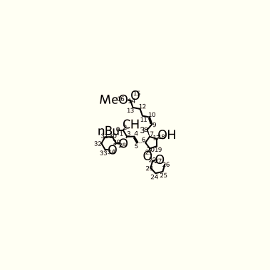 CCCCC(C)[C@@H](/C=C/[C@@H]1[C@@H](C/C=C\CCCC(=O)OC)[C@H](O)C[C@H]1OC1CCCCO1)OC1CCCCO1